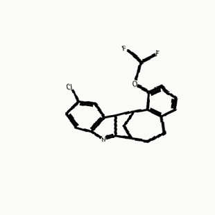 FC(F)Oc1cccc2c1C1CC(CC2)C2=Nc3ccc(Cl)cc3C21